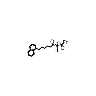 CCC(=O)ONC(=O)CCCCCc1cccc2ccccc12